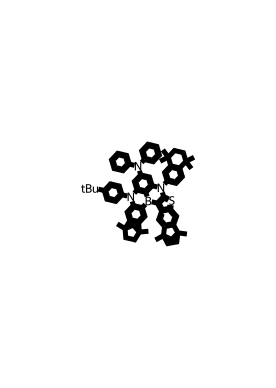 CC(C)(C)c1ccc(N2c3cc4c(cc3B3c5c2cc(N(c2ccccc2)c2ccccc2)cc5N(c2ccc5c(c2)C(C)(C)CCC5(C)C)c2sc5cc6c(cc5c23)C2(C)CCC6(C)C2)C2(C)CCC4(C)C2)cc1